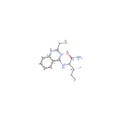 CC[C@@H](C)C(Nc1nc(CCl)nc2ccccc12)C(N)=O